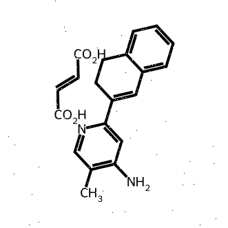 Cc1cnc(C2=Cc3ccccc3CC2)cc1N.O=C(O)C=CC(=O)O